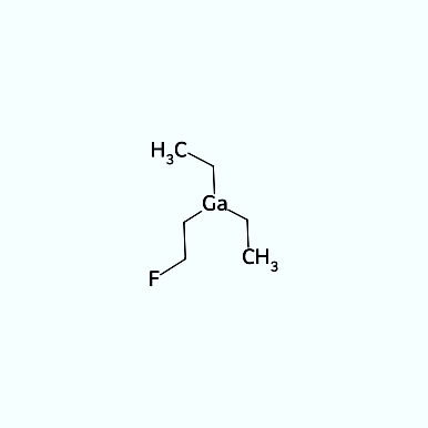 C[CH2][Ga]([CH2]C)[CH2]CF